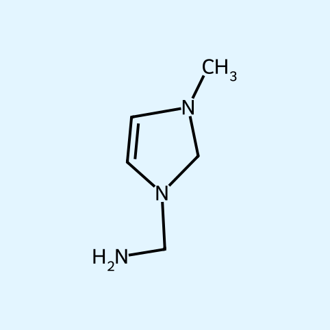 CN1C=CN(CN)C1